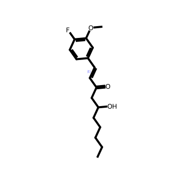 CCCCCC(O)CC(=O)/C=C/c1ccc(F)c(OC)c1